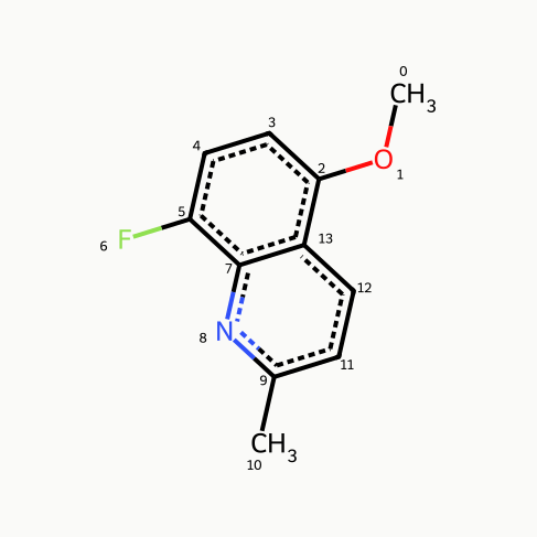 COc1ccc(F)c2nc(C)ccc12